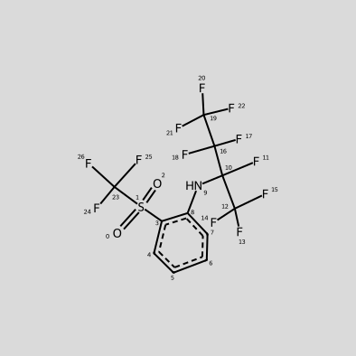 O=S(=O)(c1ccccc1NC(F)(C(F)(F)F)C(F)(F)C(F)(F)F)C(F)(F)F